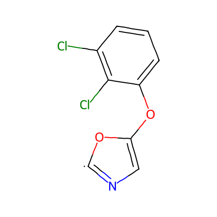 Clc1cccc(Oc2cn[c]o2)c1Cl